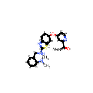 CNC(=O)c1cc(Oc2ccc3nc(NCc4ccccc4N(C)C)sc3c2)ccn1